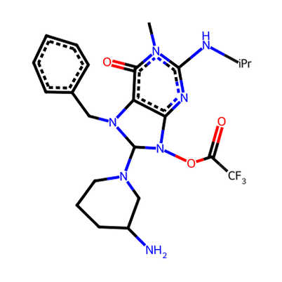 CC(C)Nc1nc2c(c(=O)n1C)N(Cc1ccccc1)C(N1CCCC(N)C1)N2OC(=O)C(F)(F)F